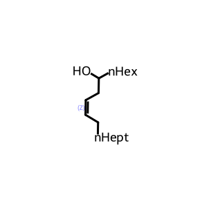 CCCCCCCC/C=C\CC(O)CCCCCC